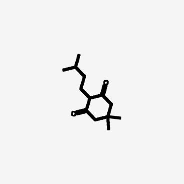 CC(C)CCC1C(=O)CC(C)(C)CC1=O